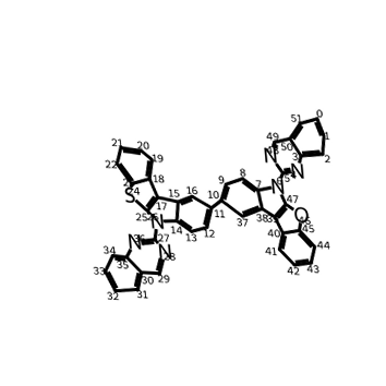 c1ccc2nc(-n3c4ccc(-c5ccc6c(c5)c5c7ccccc7sc5n6-c5ncc6ccccc6n5)cc4c4c5ccccc5oc43)ncc2c1